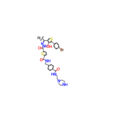 C/C(=N/NC(=O)c1ccc(C(=O)NCc2ccc(C(=O)NCCN3CCNCC3)cc2)s1)c1csc(-c2ccc(Br)cc2)c1O